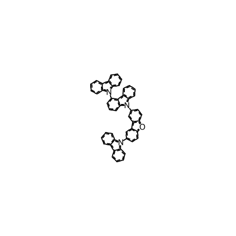 c1ccc2c(c1)c1ccccc1n2-c1ccc2oc3ccc(-n4c5ccccc5c5c(-n6c7ccccc7c7ccccc76)cccc54)cc3c2c1